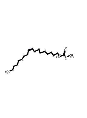 CCCCCCCC/C=C\CCCCCCCCNC(=O)OC